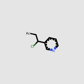 CC(=O)CC(Cl)c1cccnc1